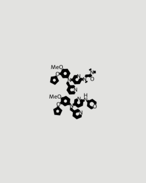 COc1ccc(N(Cc2cccnc2)c2ccc(N(C)CC(=O)N(C)C)nc2)cc1OC1CCCC1.COc1ccc(N(Cc2cccnc2)c2ccc(NC3CCOCC3)nc2)cc1OC1CCCC1